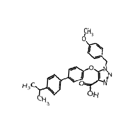 COc1ccc(Cn2nnc(C(=O)O)c2Oc2ccc(-c3ccc(C(C)C)cc3)cc2)cc1